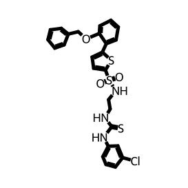 O=S(=O)(NCCNC(=S)Nc1cccc(Cl)c1)c1ccc(-c2ccccc2OCc2ccccc2)s1